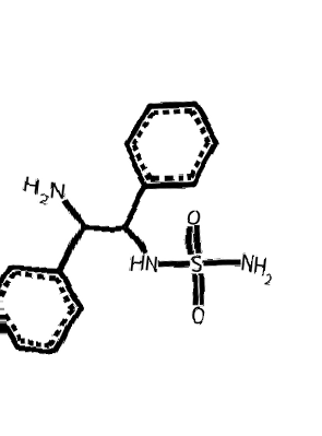 NC(c1ccccc1)C(NS(N)(=O)=O)c1ccccc1